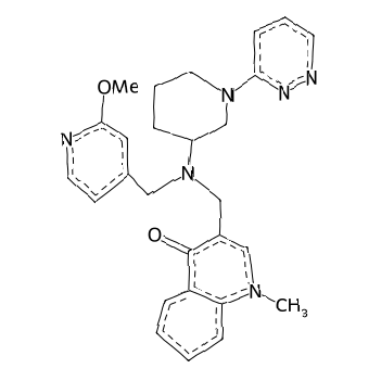 COc1cc(CN(Cc2cn(C)c3ccccc3c2=O)C2CCCN(c3cccnn3)C2)ccn1